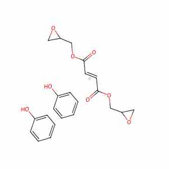 O=C(/C=C/C(=O)OCC1CO1)OCC1CO1.Oc1ccccc1.Oc1ccccc1